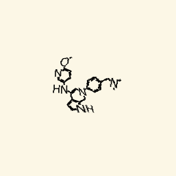 COc1ccc(NC2=CN(c3ccc(CN(C)C)cc3)Cc3[nH]ccc32)cn1